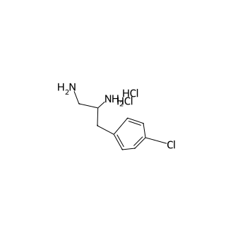 Cl.Cl.NCC(N)Cc1ccc(Cl)cc1